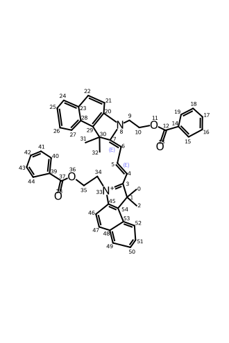 CC1(C)C(/C=C/C=C2/N(CCOC(=O)c3ccccc3)c3ccc4ccccc4c3C2(C)C)=[N+](CCOC(=O)c2ccccc2)c2ccc3ccccc3c21